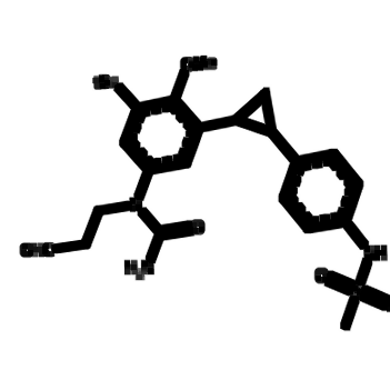 COc1c(C2CC2c2ccc(NS(C)(=O)=O)cc2)cc(N(CCC=O)C(N)=O)cc1C(C)(C)C